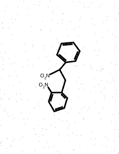 O=[N+]([O-])[C](Cc1ccccc1[N+](=O)[O-])c1ccccc1